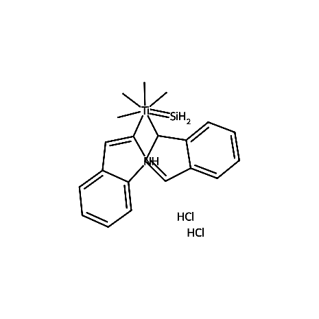 Cl.Cl.[CH3][Ti]([CH3])([CH3])([CH3])(=[SiH2])([c]1cc2ccccc2[nH]1)[CH]1C=Cc2ccccc21